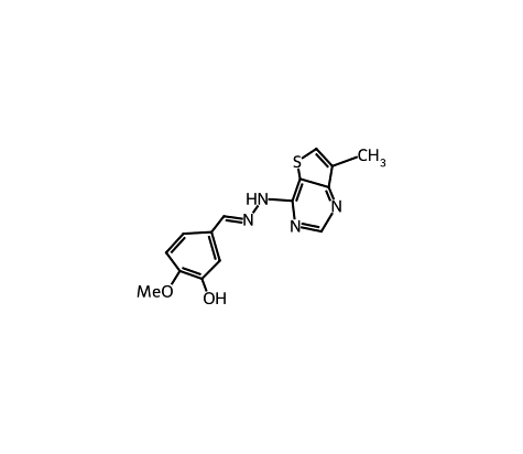 COc1ccc(C=NNc2ncnc3c(C)csc23)cc1O